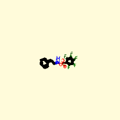 O=S(=O)(ONCCc1ccccc1)c1c(F)c(F)c(F)c(F)c1F